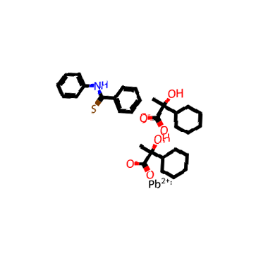 CC(O)(C(=O)[O-])C1CCCCC1.CC(O)(C(=O)[O-])C1CCCCC1.S=C(Nc1ccccc1)c1ccccc1.[Pb+2]